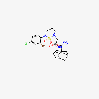 NC(=O)C12CC3CC(C1)C(NC(=O)CN1CCCN(c4ccc(Cl)cc4Br)S1(=O)=O)C(C3)C2